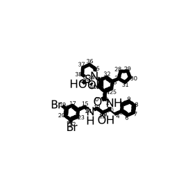 O=C(N[C@@H](Cc1ccccc1)[C@H](O)CNCc1cc(Br)cc(Br)c1)c1cc(C2CCCC2)cc(N2CCCCS2(O)O)c1